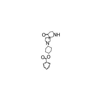 O=C(O[C@H]1CC[C@@H](N2CC[C@@]3(CNCCC3=O)C2)CC1)c1ccccc1